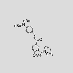 CCCCN(CCCC)c1ccc(C=CC(=O)c2ccc(OC)c(CN(C)C)c2)cc1